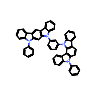 c1ccc(-n2c3ccccc3c3cc4c5ccccc5n(-c5cccc(-n6c7ccccc7c7ccc8c(c9ccccc9n8-c8ccccc8)c76)c5)c4cc32)cc1